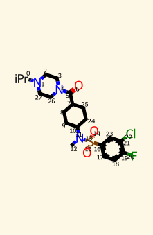 CC(C)N1CCN(C(=O)C2CCC(N(C)S(=O)(=O)c3ccc(F)c(Cl)c3)CC2)CC1